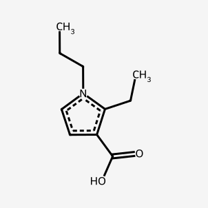 CCCn1ccc(C(=O)O)c1CC